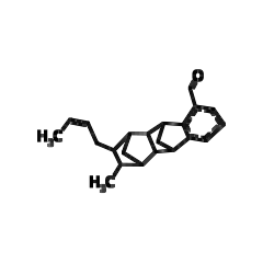 C/C=C\CC1C(C)C2CC1C1C3CC(c4cccc(C=O)c43)C21